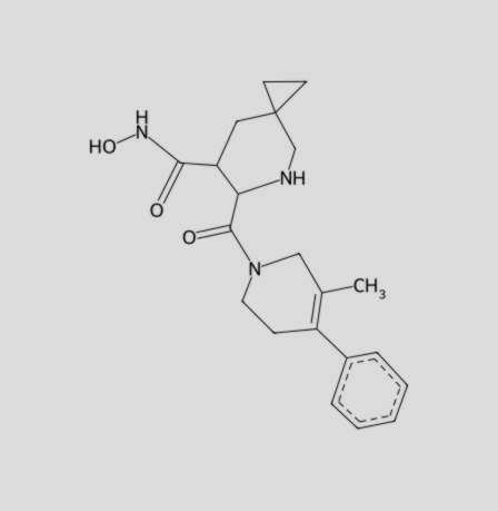 CC1=C(c2ccccc2)CCN(C(=O)C2NCC3(CC3)CC2C(=O)NO)C1